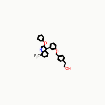 OCCc1ccc(COc2cccc(-c3c(Oc4ccccc4)cnc4c(C(F)(F)F)cccc34)c2)cc1